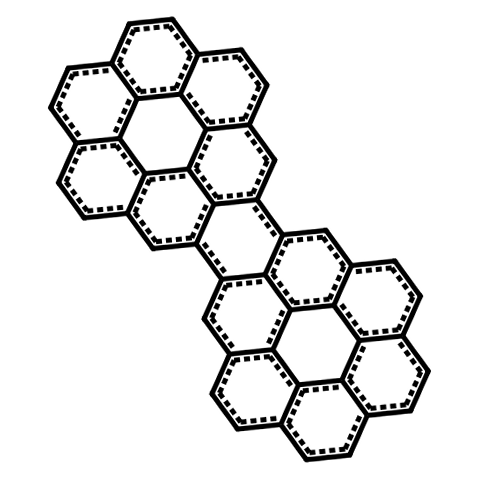 c1cc2ccc3cc4c5cc6ccc7ccc8ccc9ccc%10cc(c%11cc%12ccc%13ccc1c1c2c3c(c4%11)c%12c%131)c5c1c6c7c8c9c%101